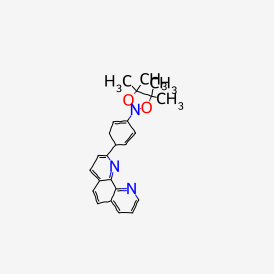 CC1(C)ON(C2=CCC(c3ccc4ccc5cccnc5c4n3)C=C2)OC1(C)C